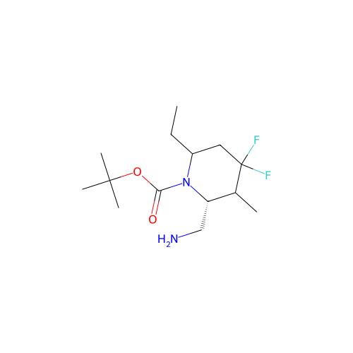 CCC1CC(F)(F)C(C)[C@H](CN)N1C(=O)OC(C)(C)C